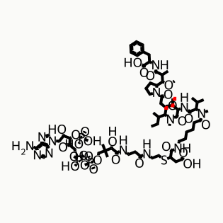 CCC(C)C(C(CC(=O)N1CCCC1C(OC)C(C)C(=O)NC(Cc1ccccc1)C(=O)O)OC)N(C)C(=O)C(NC(=O)C(C(C)C)N(C)C(=O)CCCCCNC(=O)C(CC(=O)O)SCCNC(=O)CCNC(=O)C(O)C(C)(C)COP(=O)(O)OP(=O)(O)OCC1OC(n2cnc3c(N)ncnc32)C(O)C1OP(=O)(O)O)C(C)C